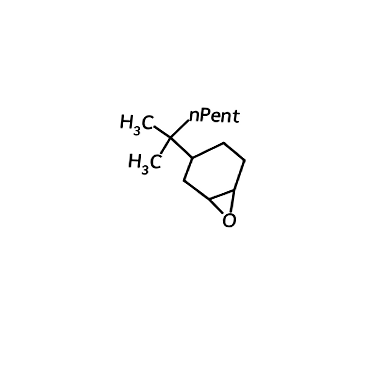 CCCCCC(C)(C)C1CCC2OC2C1